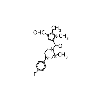 Cc1c(C=O)cc(C(=O)N2CCN(c3ccc(F)cc3)C[C@@H]2C)n1C